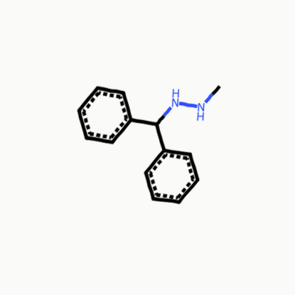 CNNC(c1ccccc1)c1ccccc1